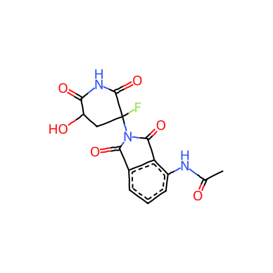 CC(=O)Nc1cccc2c1C(=O)N(C1(F)CC(O)C(=O)NC1=O)C2=O